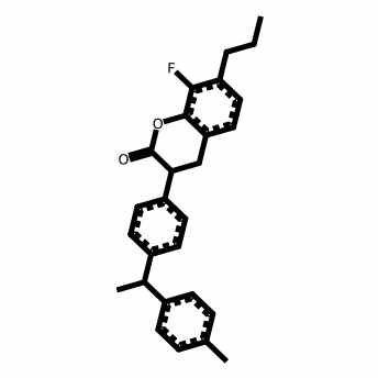 CCCc1ccc2c(c1F)OC(=O)C(c1ccc(C(C)c3ccc(C)cc3)cc1)C2